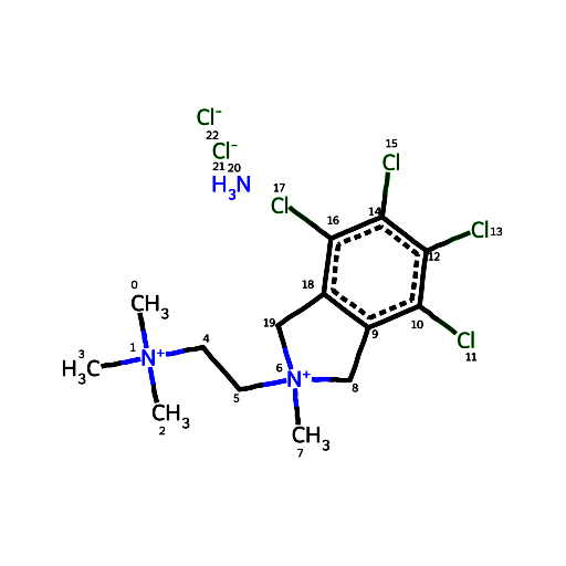 C[N+](C)(C)CC[N+]1(C)Cc2c(Cl)c(Cl)c(Cl)c(Cl)c2C1.N.[Cl-].[Cl-]